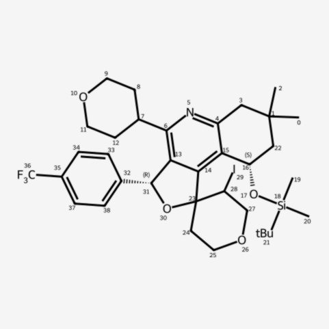 CC1(C)Cc2nc(C3CCOCC3)c3c(c2[C@@H](O[Si](C)(C)C(C)(C)C)C1)C1(CCOCC1I)O[C@@H]3c1ccc(C(F)(F)F)cc1